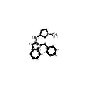 CN1CCC(Nc2nc3ccccc3n2Cc2ccccc2)C1